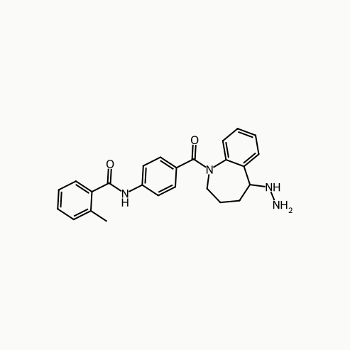 Cc1ccccc1C(=O)Nc1ccc(C(=O)N2CCCC(NN)c3ccccc32)cc1